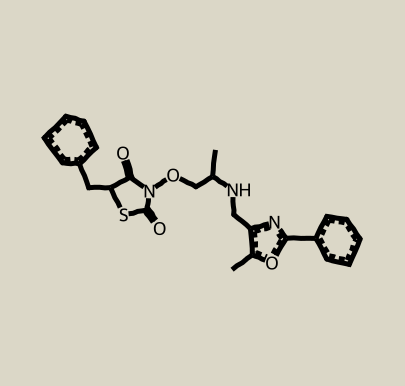 Cc1oc(-c2ccccc2)nc1CNC(C)CON1C(=O)SC(Cc2ccccc2)C1=O